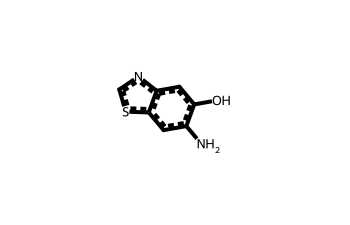 Nc1cc2scnc2cc1O